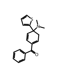 CN(C)C1(c2cccs2)C=CC(C(=O)c2ccccc2)=CC1